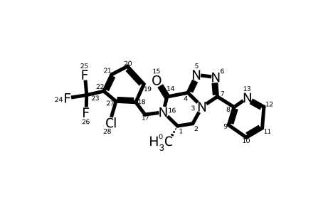 C[C@H]1Cn2c(nnc2-c2ccccn2)C(=O)N1Cc1cccc(C(F)(F)F)c1Cl